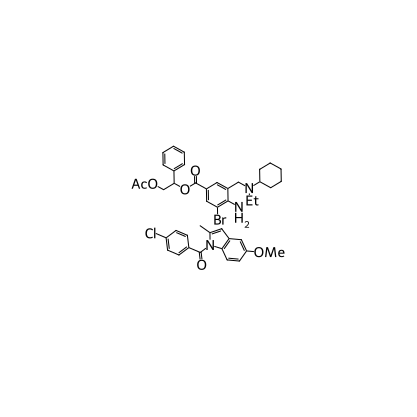 CCN(Cc1cc(C(=O)OC(COC(C)=O)c2ccccc2)cc(Br)c1N)C1CCCCC1.COc1ccc2c(c1)cc(C)n2C(=O)c1ccc(Cl)cc1